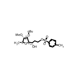 CCCCO[C@H]1[C@@H](OC)[C@H](C)O[C@@H]1[C@@H](O)CCOS(=O)(=O)c1ccc(C)cc1